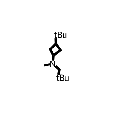 CN(CC(C)(C)C)C1CC(C(C)(C)C)C1